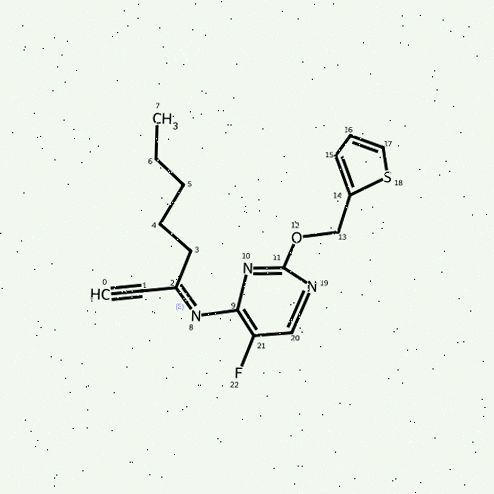 C#C/C(CCCCC)=N/c1nc(OCc2cccs2)ncc1F